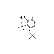 Bc1c(C)ccc(CC(C)(C)C)c1C(C)(C)C